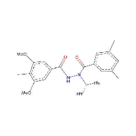 CCC[C@H](N(NC(=O)c1cc(OC)c(C)c(OC)c1)C(=O)c1cc(C)cc(C)c1)C(C)(C)C